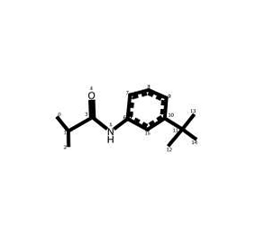 CC(C)C(=O)Nc1cccc(C(C)(C)C)c1